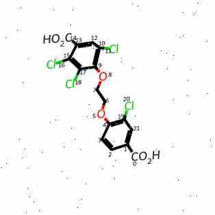 O=C(O)c1ccc(OCCOc2c(Cl)cc(C(=O)O)c(Cl)c2Cl)c(Cl)c1